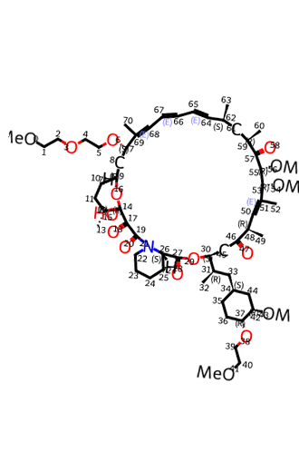 COCCOCCO[C@H]1C[C@@H]2CC[C@@H](C)[C@@](O)(O2)C(=O)C(=O)N2CCCC[C@H]2C(=O)O[C@H]([C@H](C)C[C@@H]2CC[C@@H](OCCOC)[C@H](OC)C2)CC(=O)[C@H](C)/C=C(\C)[C@@H](OC)[C@@H](OC)C(=O)[C@H](C)C[C@H](C)/C=C/C=C/C=C/1C